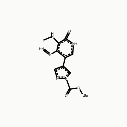 CC(C)(C)OC(=O)n1cc(-c2c[nH]c(=O)c(NI)c2N=N)cn1